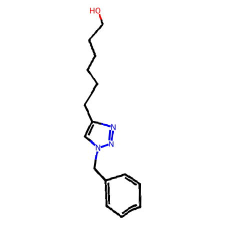 OCCCCCCc1cn(Cc2ccccc2)nn1